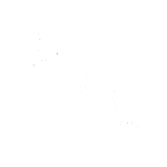 CCCCC1[CH]C1